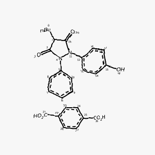 CCCCC1C(=O)N(c2ccccc2)N(c2ccc(O)cc2)C1=O.O=C(O)c1ccc(C(=O)O)cc1